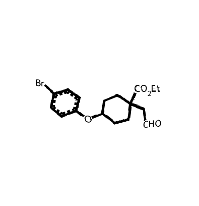 CCOC(=O)C1(CC=O)CCC(Oc2ccc(Br)cc2)CC1